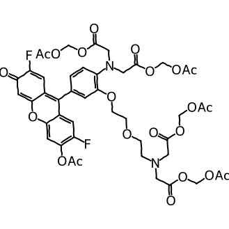 CC(=O)OCOC(=O)CN(CCOCCOc1cc(-c2c3cc(F)c(=O)cc-3oc3cc(OC(C)=O)c(F)cc23)ccc1N(CC(=O)OCOC(C)=O)CC(=O)OCOC(C)=O)CC(=O)OCOC(C)=O